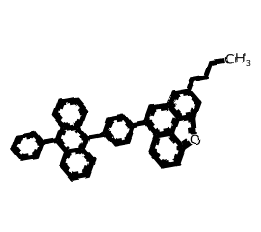 CCCCc1cc2cc(-c3ccc(-c4c5ccccc5c(-c5ccccc5)c5ccccc45)cc3)c3cccc4oc(c1)c2c43